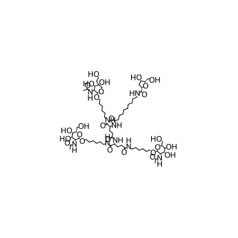 CC(=O)NC1C(OCCCCCCNC(=O)CCC(NC(=O)CCC(NC(=O)CCCCCCCCCNC(=O)[C@H]2C[C@H](O)[C@@H](CO)O2)C(=O)NCCCCCCOC2OCC(O)(CCO)C(O)C2NC(C)=O)C(=O)NCCCCCCOC2O[C@H](CO)C(O)C(O)C2NC(C)=O)OC(CO)C(O)C1O